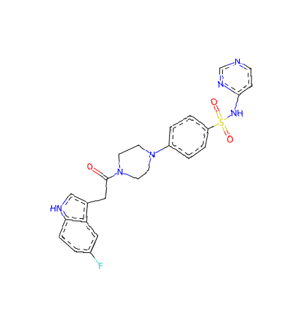 O=C(Cc1c[nH]c2ccc(F)cc12)N1CCN(c2ccc(S(=O)(=O)Nc3ccncn3)cc2)CC1